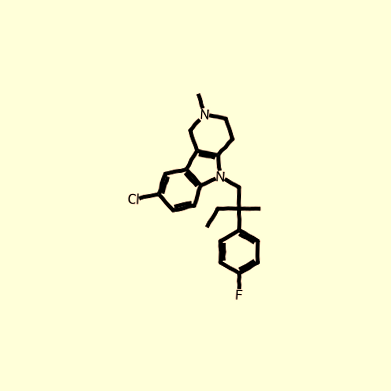 CCC(C)(Cn1c2c(c3cc(Cl)ccc31)CN(C)CC2)c1ccc(F)cc1